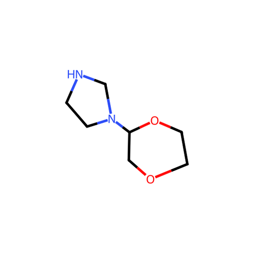 C1CN(C2COCCO2)CN1